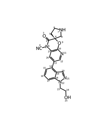 N#CN1C(=O)[C@@]2(CCNC2)Oc2ncc(-c3cccc4c3cnn4CCO)cc21